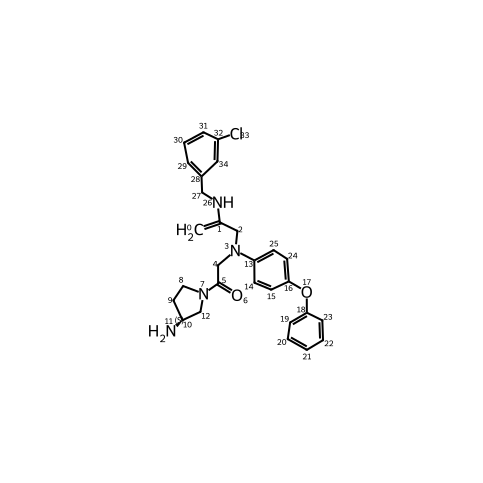 C=C(CN(CC(=O)N1CC[C@H](N)C1)c1ccc(Oc2ccccc2)cc1)NCc1cccc(Cl)c1